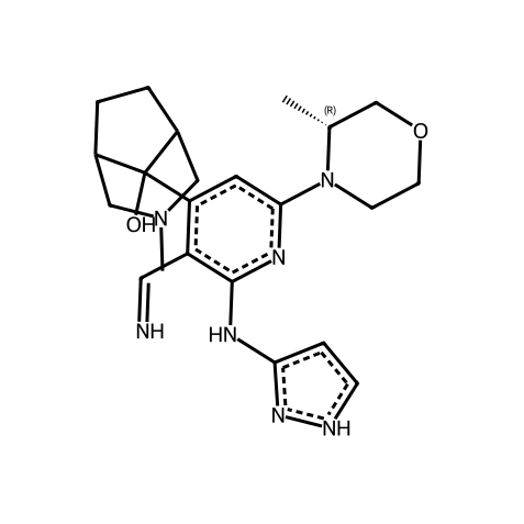 C[C@@H]1COCCN1c1cc(C2(O)C3CCC2CN(C)C3)c(C=N)c(Nc2cc[nH]n2)n1